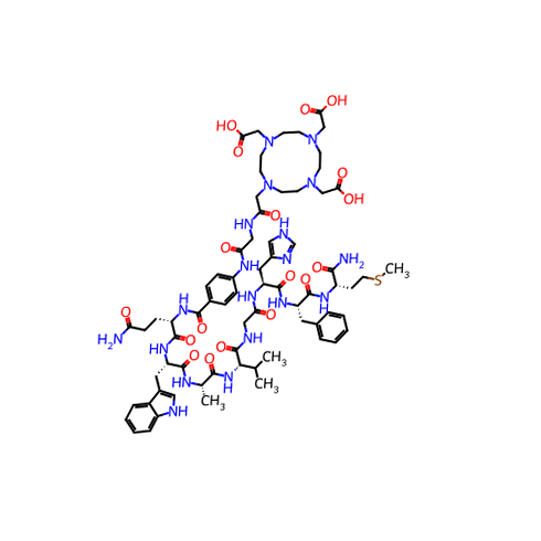 CSCC[C@H](NC(=O)[C@H](Cc1ccccc1)NC(=O)[C@H](Cc1c[nH]cn1)NC(=O)CNC(=O)[C@@H](NC(=O)[C@H](C)NC(=O)[C@H](Cc1c[nH]c2ccccc12)NC(=O)[C@H](CCC(N)=O)NC(=O)c1ccc(NC(=O)CNC(=O)CN2CCN(CC(=O)O)CCN(CC(=O)O)CCN(CC(=O)O)CC2)cc1)C(C)C)C(N)=O